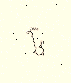 CCC1CC1CC1CC1CC1CC1CCCCCCCC(=O)OC